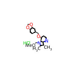 COCn1c(C)c(C)c2nccc(OCc3ccc4c(c3)OCO4)c21.Cl